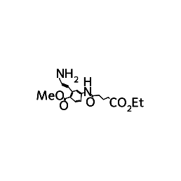 CCOC(=O)CCCC(=O)Nc1ccc(C(=O)OC)c(C#CCN)c1